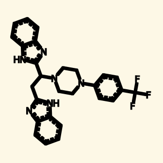 FC(F)(F)c1ccc(N2CCN(C(Cc3nc4ccccc4[nH]3)c3nc4ccccc4[nH]3)CC2)cc1